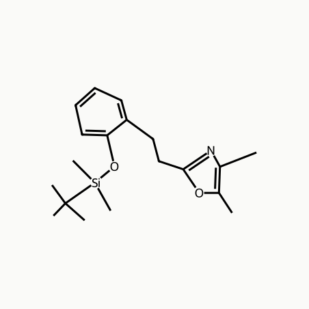 Cc1nc(CCc2ccccc2O[Si](C)(C)C(C)(C)C)oc1C